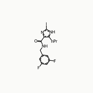 CCCc1[nH]c(I)nc1C(=O)NCc1cc(F)cc(F)c1